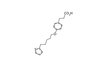 O=C(O)CCc1ccc(OCCCCCc2cccs2)cc1